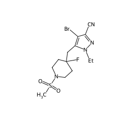 CCn1nc(C#N)c(Br)c1CC1(F)CCN(S(C)(=O)=O)CC1